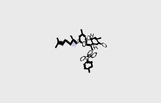 CC(C)=CCC/C(C)=C/[C@@H]1CC(C)=C[C@]2(C=C(COS(=O)(=O)c3ccc(C)cc3)[C@H]3CC(=O)C(C)=C[C@H]3O2)O1